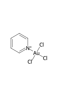 [Cl][Au]([Cl])([Cl])[n+]1ccccc1